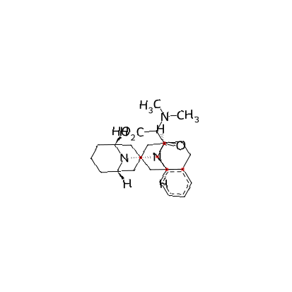 CN(C)C(C(=O)O)C(=O)N(c1ccccc1)[C@H]1C[C@H]2CCC[C@@H](C1)N2[C@H]1C[C@@H]2CCC[C@@H](C2)C1